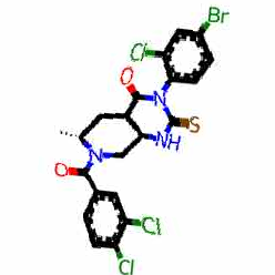 C[C@@H]1CC2C(=O)N(c3ccc(Br)cc3Cl)C(=S)NC2CN1C(=O)c1ccc(Cl)c(Cl)c1